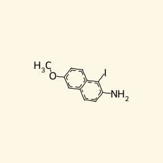 COc1ccc2c(I)c(N)ccc2c1